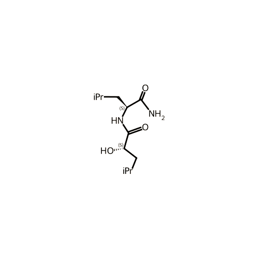 CC(C)C[C@H](NC(=O)[C@@H](O)CC(C)C)C(N)=O